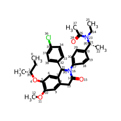 CC[C@@H](C)Oc1cc2c(cc1OC)CC(=O)N(c1ccc([C@@H](C)N(CC)C(C)=O)cc1)[C@@H]2c1ccc(Cl)cc1